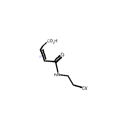 N#CCCNC(=O)/C=C\C(=O)O